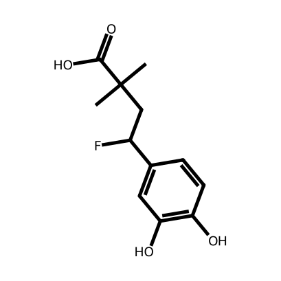 CC(C)(CC(F)c1ccc(O)c(O)c1)C(=O)O